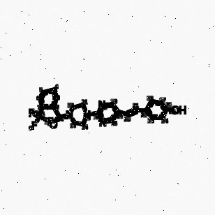 O=C(c1ccccc1C(F)(F)F)N1CCN(c2ncc(C#Cc3ccc(O)cc3)cn2)CC1